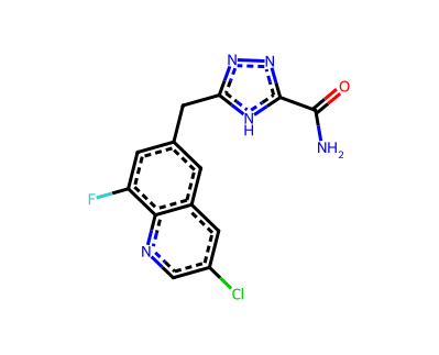 NC(=O)c1nnc(Cc2cc(F)c3ncc(Cl)cc3c2)[nH]1